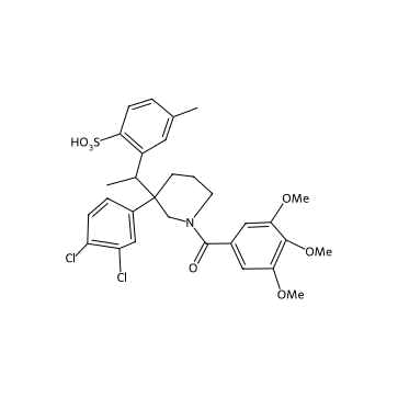 COc1cc(C(=O)N2CCCC(c3ccc(Cl)c(Cl)c3)(C(C)c3cc(C)ccc3S(=O)(=O)O)C2)cc(OC)c1OC